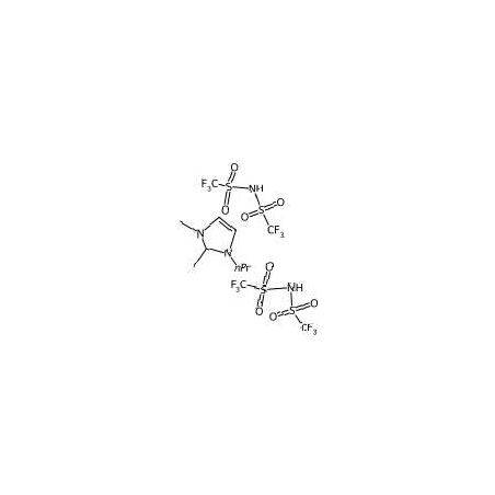 CCCN1C=CN(C)C1C.O=S(=O)(NS(=O)(=O)C(F)(F)F)C(F)(F)F.O=S(=O)(NS(=O)(=O)C(F)(F)F)C(F)(F)F